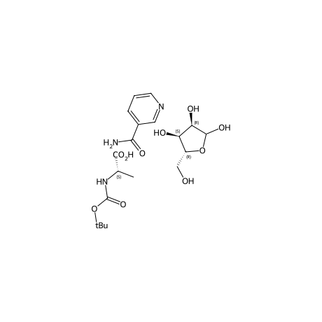 C[C@H](NC(=O)OC(C)(C)C)C(=O)O.NC(=O)c1cccnc1.OC[C@H]1OC(O)[C@H](O)[C@@H]1O